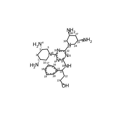 N[C@@H]1C[C@H](N)CN(c2nc(NC(CCO)c3ccccc3)nc(N3C[C@H](N)C[C@H](N)C3)n2)C1